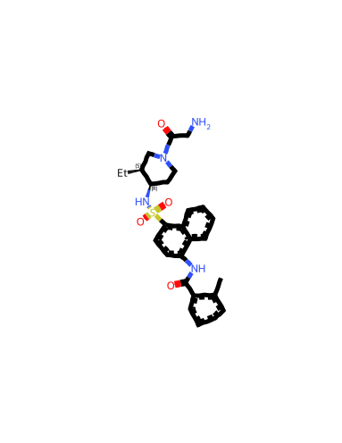 CC[C@H]1CN(C(=O)CN)CC[C@H]1NS(=O)(=O)c1ccc(NC(=O)c2ccccc2C)c2ccccc12